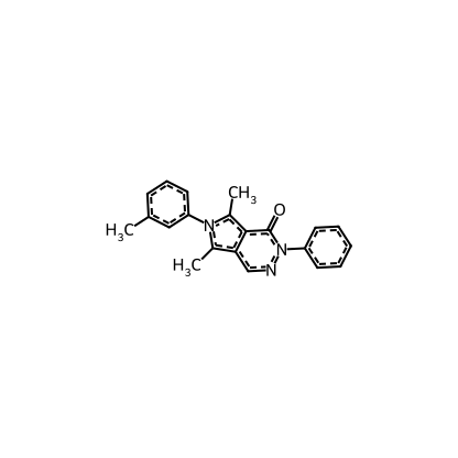 Cc1cccc(-n2c(C)c3cnn(-c4ccccc4)c(=O)c3c2C)c1